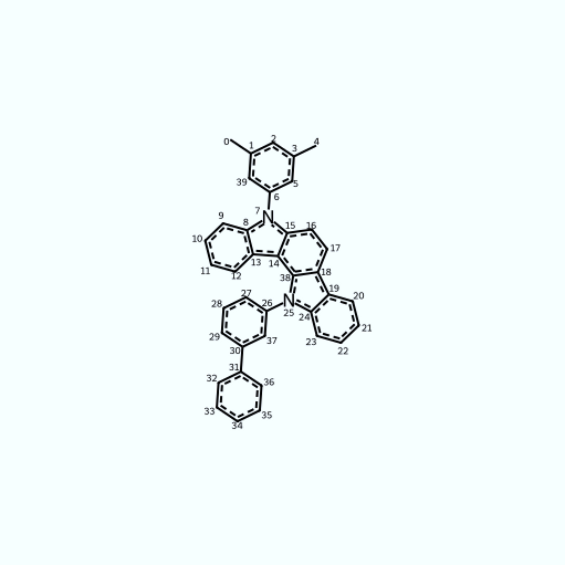 Cc1cc(C)cc(-n2c3ccccc3c3c2ccc2c4ccccc4n(-c4cccc(-c5ccccc5)c4)c23)c1